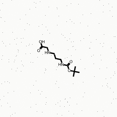 CC(C)(C)OC(=O)NCCCNCC(=O)O